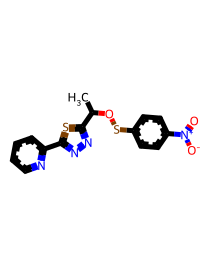 CC(OSc1ccc([N+](=O)[O-])cc1)c1nnc(-c2ccccn2)s1